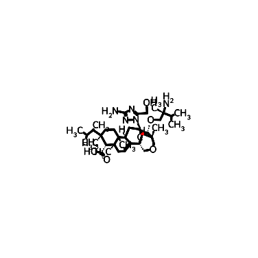 CC(C)[C@@H](C)[C@@]1(C)CC[C@]2(C)[C@H]3CC[C@@H]4[C@@]5(COC[C@@]4(C)[C@@H](OC[C@](C)(N)C(C)C)[C@H](n4nc(N)nc4CO)C5)C3=CC[C@@]2(C)[C@@H]1C(=O)O